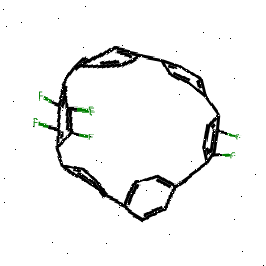 Fc1c2ccc(c1F)-c1ccc(cc1)-c1ccc(cc1)-c1c(F)c(F)c(c(F)c1F)-c1ccc(cc1)-c1ccc-2cc1